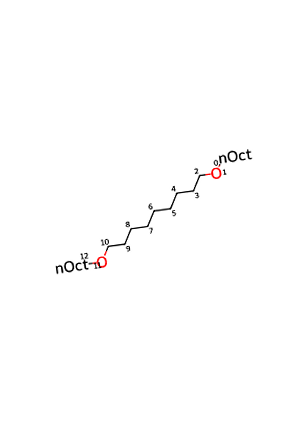 CCCCCCCCOCCCCCCCCCOCCCCCCCC